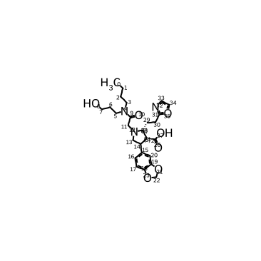 CCCCN(CCCO)C(=O)CN1CC(c2ccc3c(c2)OCO3)[C@H](C(=O)O)[C@H]1CCc1ncco1